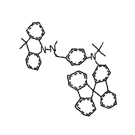 CN(Cc1ccc(N(c2ccc3c(c2)C2(c4ccccc4-c4ccccc42)c2ccccc2-3)C(C)(C)C)cc1)N1c2ccccc2C(C)(C)c2ccccc21